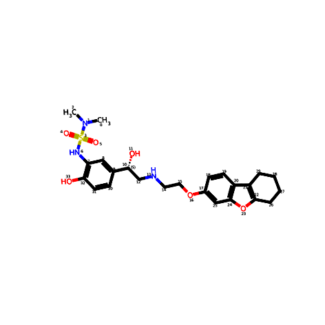 CN(C)S(=O)(=O)Nc1cc([C@H](O)CNCCOc2ccc3c4c(oc3c2)CCCC4)ccc1O